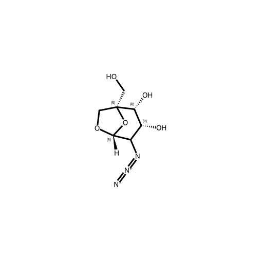 [N-]=[N+]=NC1[C@@H]2OC[C@](CO)(O2)[C@H](O)[C@@H]1O